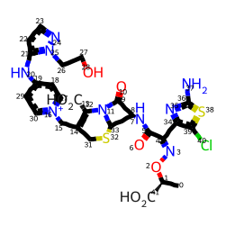 C[C@H](O/N=C(\C(=O)N[C@@H]1C(=O)N2C(C(=O)O)=C(C[n+]3ccc(Nc4ccnn4CCO)cc3)CSC12)c1nc(N)sc1Cl)C(=O)O